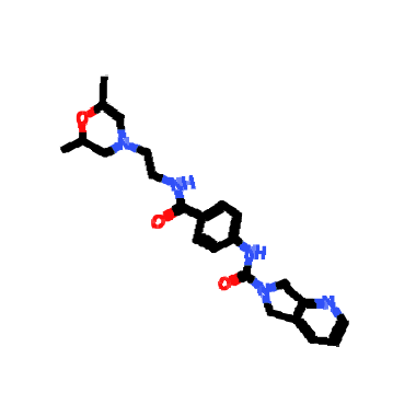 CC1CN(CCNC(=O)c2ccc(NC(=O)N3Cc4cccnc4C3)cc2)CC(C)O1